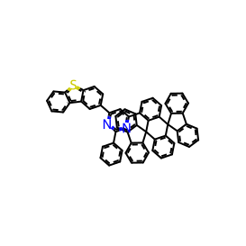 c1ccc(-c2nc(-c3ccc4sc5ccccc5c4c3)cc(-c3cccc4c3C3(c5ccccc5-c5ccccc53)c3ccccc3C43c4ccccc4-c4ccccc43)n2)cc1